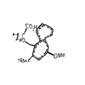 CC(=O)O.CCCCc1cc(OC)c2ccccc2c1O